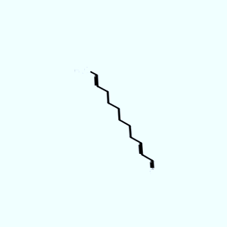 C/C=C/CCCCCC/C=C/[C]=O